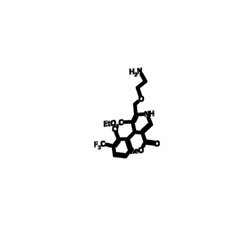 CCOC(=O)C1=C(COCCN)NC=C(C(=O)OC)C1c1cccc(C(F)(F)F)c1Cl